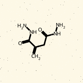 C=C(CC(=O)NN)C(=O)NN